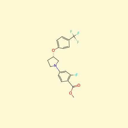 COC(=O)c1ccc(N2CC[C@H](Oc3ccc(C(F)(F)F)cc3)C2)cc1F